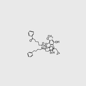 COc1cc(O)c2c3c1O[C@H]1[C@H](N(CCCCc4ccccc4)C(=O)CCCCC(=O)c4ccccc4)CC[C@H]4[C@@H](C2)N(CC2CC2)CC[C@@]341